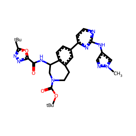 Cn1cc(Nc2nccc(-c3ccc4c(c3)CCN(C(=O)OC(C)(C)C)CC4NC(=O)c3nnc(C(C)(C)C)o3)n2)cn1